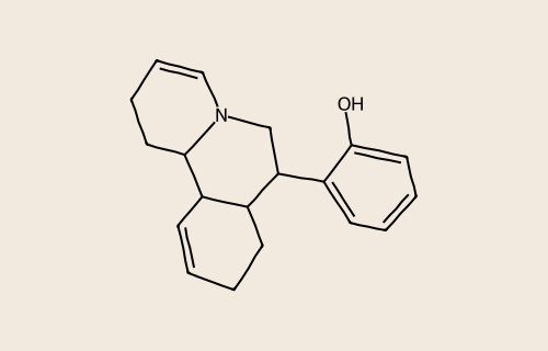 Oc1ccccc1C1CN2C=CCCC2C2C=CCCC12